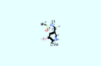 Bc1cc([C@@H](C)N(CC)[S+]([O-])C(C)(C)C)cnc1OC